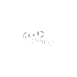 CN(CC1CCCC1)C(=O)c1ccccc1S(=O)(=O)Nc1cccnc1